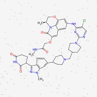 CNC(=O)COc1cc2cc(Nc3nc(N4CCC(CN5CCC(c6ccc7c(C8CCC(=O)NC8=O)nn(C)c7c6)CC5)CC4)ncc3Cl)cc3c2n(c1=O)[C@@H](C)CO3